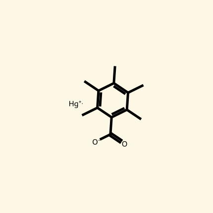 Cc1c(C)c(C)c(C(=O)[O-])c(C)c1C.[Hg+]